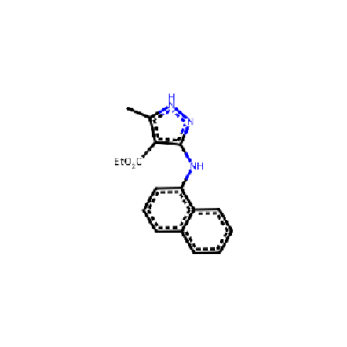 CCOC(=O)c1c(Nc2cccc3ccccc23)n[nH]c1C